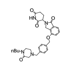 CCCCN1CCN(Cc2ccc(COc3cccc4c3CN(C3CCC(=O)NC3=O)C4=O)cc2)CC1=O